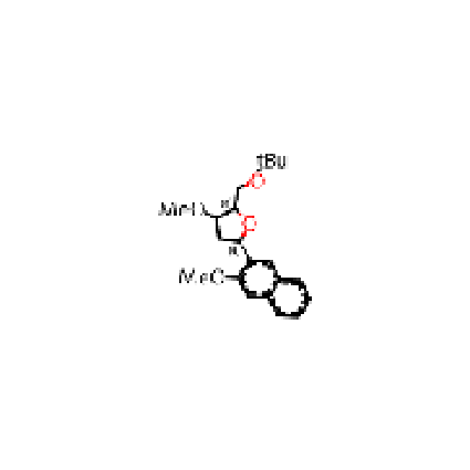 COc1cc2ccccc2cc1[C@H]1CC(OC)[C@@H](COC(C)(C)C)O1